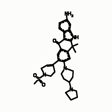 CC1(C)c2cc(N3CCC(N4CCCC4)CC3)c(C3=CCN(S(C)(=O)=O)CC3)cc2C(=O)c2c1[nH]c1cc(N)ccc21